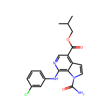 CC(C)COC(=O)c1cnc(Nc2cccc(Cl)c2)c2c1ccn2C(N)=O